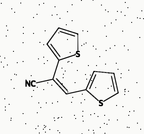 N#CC(=Cc1cccs1)c1cccs1